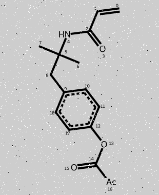 C=CC(=O)NC(C)(C)Cc1ccc(OC(=O)C(C)=O)cc1